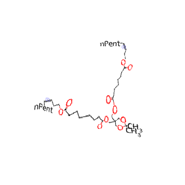 CCCCC/C=C\CCOC(=O)CCCCCCC(=O)OCC1(COC(=O)CCCCCCC(=O)OCC/C=C\CCCCC)COC(C)(C)OC1